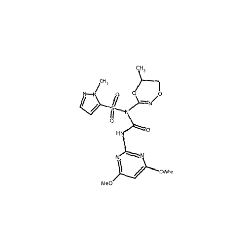 COc1cc(OC)nc(NC(=O)N(C2=NOCC(C)O2)S(=O)(=O)c2ccnn2C)n1